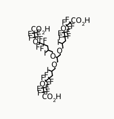 O=C(O)C(F)(F)C(F)(F)OC(F)(F)C(F)(F)CC(I)COCC(COCC(I)CC(F)(F)C(F)(F)OC(F)(F)C(F)(F)C(=O)O)OCC(I)CC(F)(F)C(F)(F)OC(F)(F)C(F)(F)C(=O)O